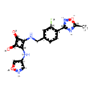 O=c1c(NCc2ccc(-c3noc(C(F)(F)F)n3)c(F)c2)c(Nc2cnoc2)c1=O